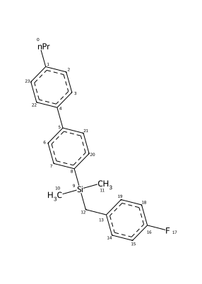 CCCc1ccc(-c2ccc([Si](C)(C)Cc3ccc(F)cc3)cc2)cc1